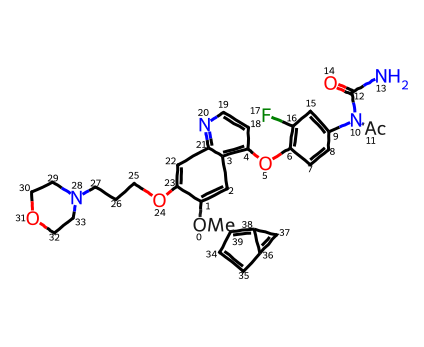 COc1cc2c(Oc3ccc(N(C(C)=O)C(N)=O)cc3F)ccnc2cc1OCCCN1CCOCC1.c1cc2cc-2c1